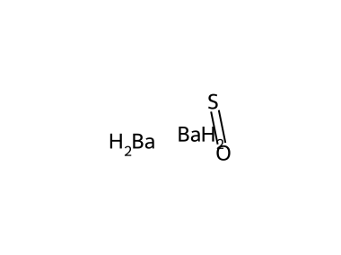 O=S.[BaH2].[BaH2]